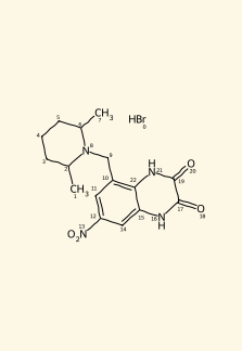 Br.CC1CCCC(C)N1Cc1cc([N+](=O)[O-])cc2[nH]c(=O)c(=O)[nH]c12